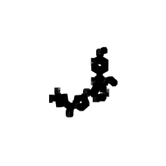 CCn1c(-c2ccc(OC)nc2)nc2c(OC3CCN(C(=O)C4CC(F)(F)C4)C3)ncnc21